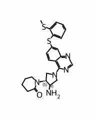 CSc1ccccc1Sc1ccc2c(N3C[C@@H](N)[C@@H](N4CCCCC4=O)C3)ncnc2c1